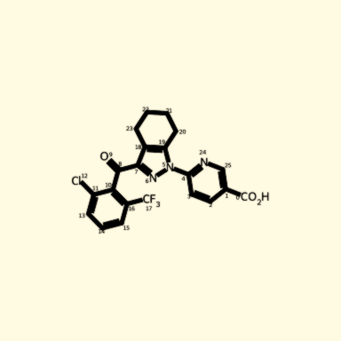 O=C(O)c1ccc(-n2nc(C(=O)c3c(Cl)cccc3C(F)(F)F)c3c2CCCC3)nc1